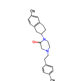 N#Cc1ccc(CCN2CCN(C3CCc4cc(C#N)ccc4C3)C(=O)C2)cc1